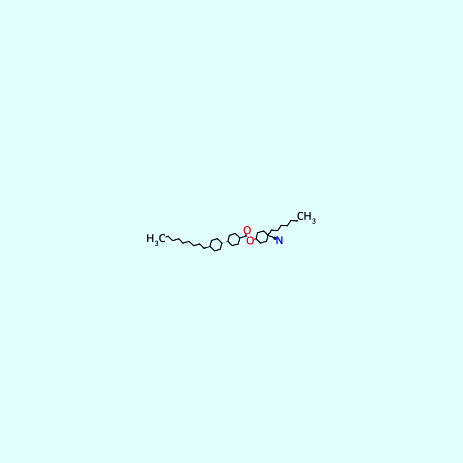 CCCCCCCCC[C@H]1CC[C@H](C2CCC(C(=O)OC3CCC(C#N)(CCCCCCC)CC3)CC2)CC1